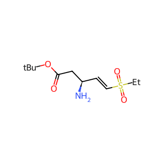 CCS(=O)(=O)/C=C/[C@@H](N)CC(=O)OC(C)(C)C